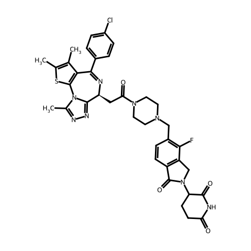 Cc1sc2c(c1C)C(c1ccc(Cl)cc1)=N[C@@H](CC(=O)N1CCN(Cc3ccc4c(c3F)CN(C3CCC(=O)NC3=O)C4=O)CC1)c1nnc(C)n1-2